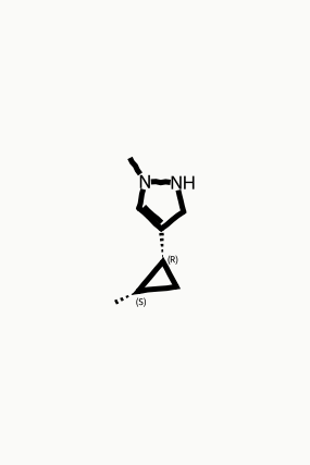 C[C@H]1C[C@H]1C1=CN(C)NC1